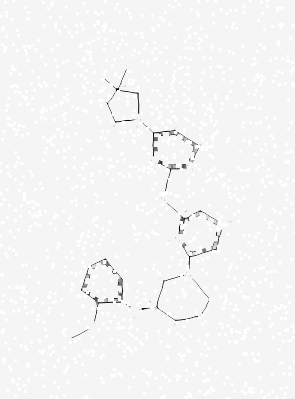 CCOc1ccccc1O[C@@H]1CCCN(c2cncc(Nc3nccc(N4CCC(C)(C(=O)O)C4)n3)n2)C1